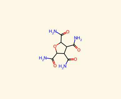 NC(=O)C1OC(C(N)=O)C(C(N)=O)C1C(N)=O